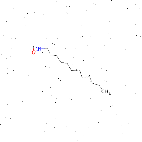 CCCCCCCCCCCCN1CO1